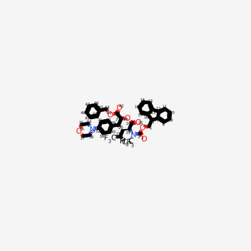 CN(C(=O)OCC1c2ccccc2-c2ccccc21)[C@@H](CC(C(F)(F)F)C(F)(F)F)C(=O)OC(Cc1ccc(N2CCOCC2)cc1)C(=O)OCc1ccccc1